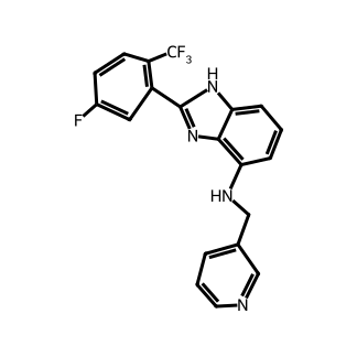 Fc1ccc(C(F)(F)F)c(-c2nc3c(NCc4cccnc4)cccc3[nH]2)c1